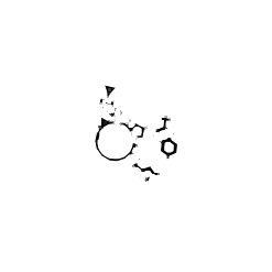 Cc1cc(C(=O)N[C@H]2CCCCCC=C[C@@H]3C[C@@]3(C(=O)NS(=O)(=O)C3CC3)NC(=O)[C@@H]3C[C@@H](Oc4nc5cc(F)ccc5nc4C(C)(F)F)CN3C2=O)no1